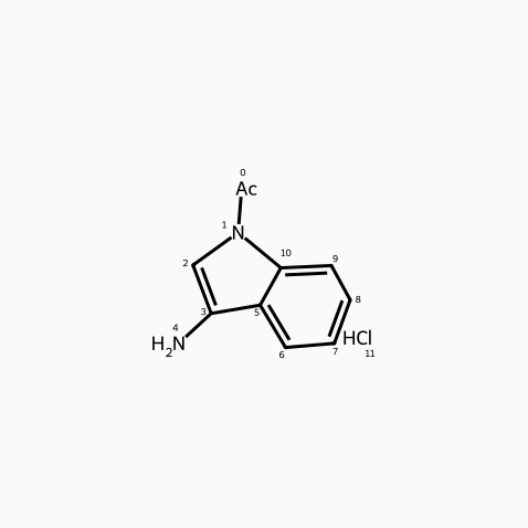 CC(=O)n1cc(N)c2ccccc21.Cl